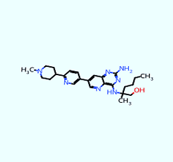 CCCCC(C)(CO)Nc1nc(N)nc2cc(-c3ccc(C4CCN(C)CC4)nc3)cnc12